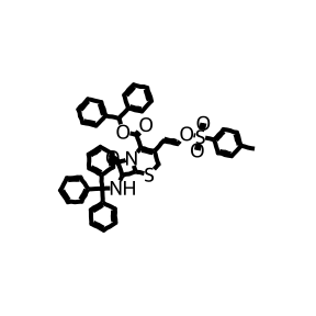 Cc1ccc(S(=O)(=O)OC=CC2=C(C(=O)OC(c3ccccc3)c3ccccc3)N3C(=O)C(NC(c4ccccc4)(c4ccccc4)c4ccccc4)C3SC2)cc1